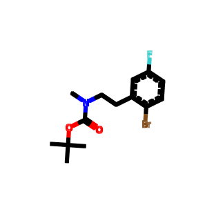 CN(CCc1cc(F)ccc1Br)C(=O)OC(C)(C)C